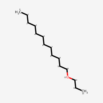 CCCCCCCCCCC[CH]OCCC